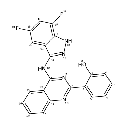 Oc1ccccc1-c1nc(Nc2n[nH]c3c(F)cc(F)cc23)c2ccccc2n1